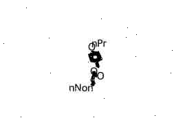 CCCCCCCCCCCC(=O)OCc1ccc(OCCC)cc1